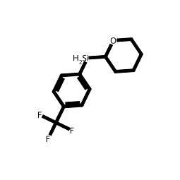 FC(F)(F)c1ccc([SiH2]C2CCCCO2)cc1